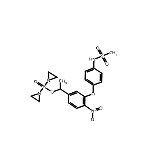 CC(OP(=O)(N1CC1)N1CC1)c1ccc([N+](=O)[O-])c(Oc2ccc(NS(C)(=O)=O)cc2)c1